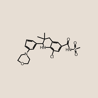 CC1(C)Cc2cc(C(=O)NS(C)(=O)=O)cc(Cl)c2NC1c1cccc(N2CCOCC2)c1